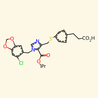 CC(C)OC(=O)c1c(CSc2ccc(CCC(=O)O)cc2)ncn1Cc1cc2c(cc1Cl)OCO2